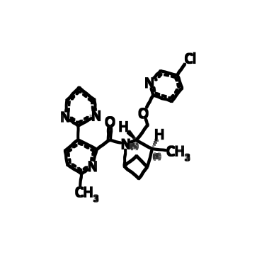 Cc1ccc(-c2ncccn2)c(C(=O)N2C3CC(C3)[C@H](C)[C@H]2COc2ccc(Cl)cn2)n1